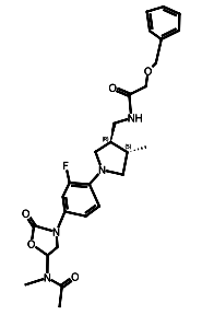 CC(=O)N(C)C1CN(c2ccc(N3C[C@@H](CNC(=O)COCc4ccccc4)[C@H](C)C3)c(F)c2)C(=O)O1